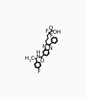 CC(NC(=O)c1ccc2nc(-c3ccccc3)c(CCCC(F)(F)C(=O)O)nc2c1)c1ccc(F)cc1